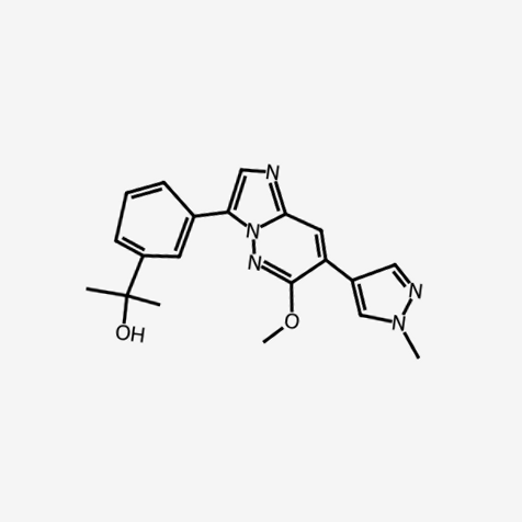 COc1nn2c(-c3cccc(C(C)(C)O)c3)cnc2cc1-c1cnn(C)c1